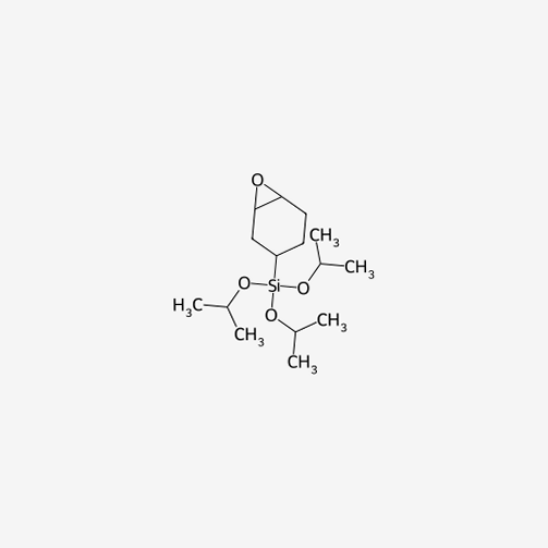 CC(C)O[Si](OC(C)C)(OC(C)C)C1CCC2OC2C1